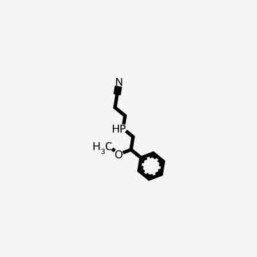 COC(CPCCC#N)c1ccccc1